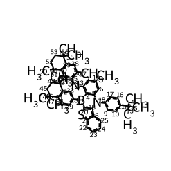 Cc1cc2c3c(c1)N(c1ccc(C(C)(C)C)cc1)c1c(sc4ccccc14)B3c1ccc3c4c1N2c1c(C)cc2c(c1C4(C)CCC3(C)C)C(C)(C)CCC2(C)C